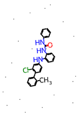 Cc1ccccc1-c1ccc(Nc2ccccc2NC(=O)Nc2ccccc2)cc1Cl